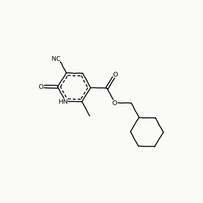 Cc1[nH]c(=O)c(C#N)cc1C(=O)OCC1CCCCC1